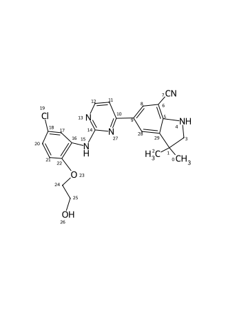 CC1(C)CNc2c(C#N)cc(-c3ccnc(Nc4cc(Cl)ccc4OCCO)n3)cc21